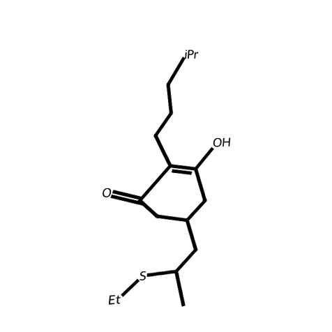 CCSC(C)CC1CC(=O)C(CCCC(C)C)=C(O)C1